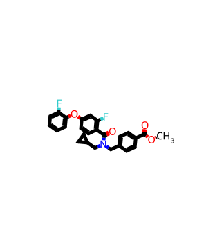 COC(=O)c1ccc(CN(CC2CC2)C(=O)c2ccc(Oc3ccccc3F)cc2F)cc1